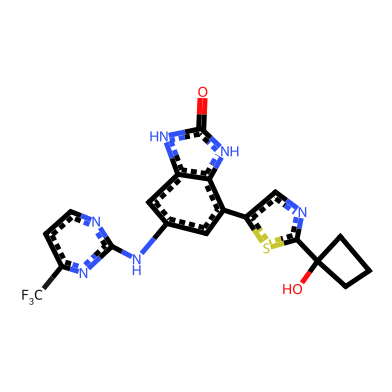 O=c1[nH]c2cc(Nc3nccc(C(F)(F)F)n3)cc(-c3cnc(C4(O)CCC4)s3)c2[nH]1